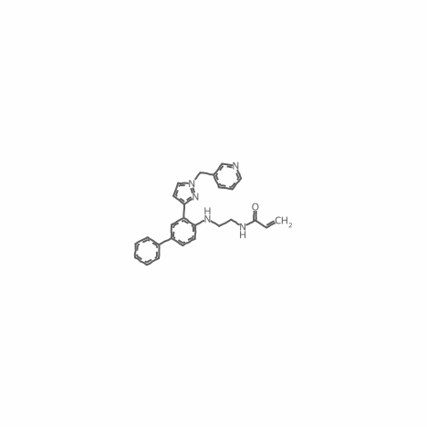 C=CC(=O)NCCNc1ccc(-c2ccccc2)cc1-c1ccn(Cc2cccnc2)n1